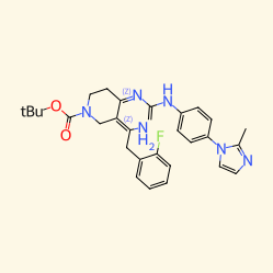 C=C(/N=C1/CCN(C(=O)OC(C)(C)C)C/C1=C(/N)Cc1ccccc1F)Nc1ccc(-n2ccnc2C)cc1